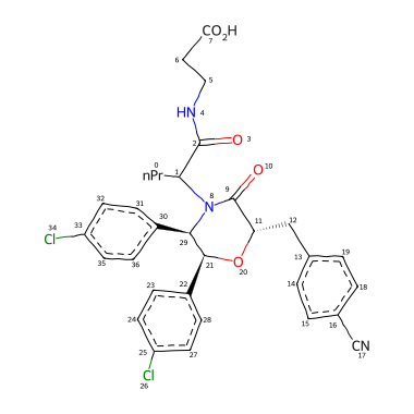 CCCC(C(=O)NCCC(=O)O)N1C(=O)[C@H](Cc2ccc(C#N)cc2)O[C@@H](c2ccc(Cl)cc2)[C@H]1c1ccc(Cl)cc1